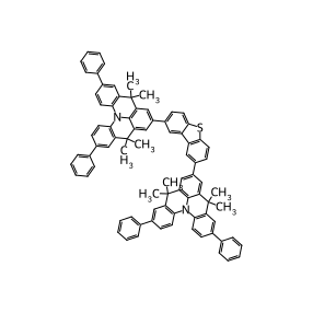 CC1(C)c2cc(-c3ccccc3)ccc2N2c3ccc(-c4ccccc4)cc3C(C)(C)c3cc(-c4ccc5sc6ccc(-c7cc8c9c(c7)C(C)(C)c7cc(-c%10ccccc%10)ccc7N9c7ccc(-c9ccccc9)cc7C8(C)C)cc6c5c4)cc1c32